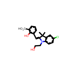 CC1(C)/C(=C\c2cccc(C(=O)O)c2O)N(CCO)c2ccc(Cl)cc21